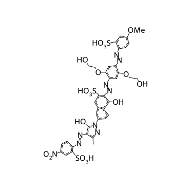 COc1ccc(/N=N/c2cc(OCCO)c(/N=N/c3c(S(=O)(=O)O)cc4cc(-n5nc(C)c(/N=N/c6ccc([N+](=O)[O-])cc6S(=O)(=O)O)c5O)ccc4c3O)cc2OCCO)c(S(=O)(=O)O)c1